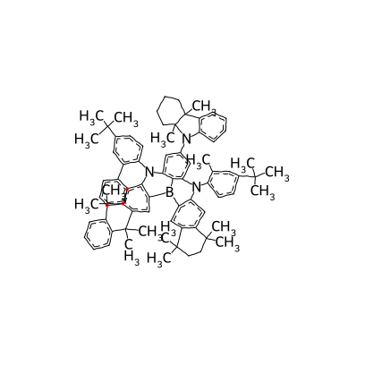 Cc1cc(C(C)(C)C)ccc1N1c2cc3c(cc2B2c4cc5c(cc4N(c4ccc(C(C)(C)C)cc4-c4ccccc4)c4cc(N6c7ccccc7C7(C)CCCCC67C)cc1c42)C(C)(C)c1ccccc1C5(C)C)C(C)(C)CCC3(C)C